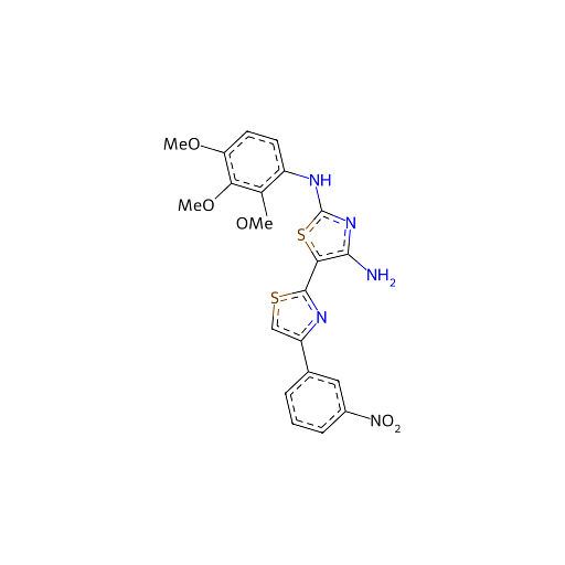 COc1ccc(Nc2nc(N)c(-c3nc(-c4cccc([N+](=O)[O-])c4)cs3)s2)c(OC)c1OC